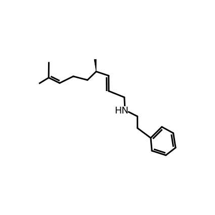 CC(C)=CCC[C@@H](C)/C=C/CNCCc1ccccc1